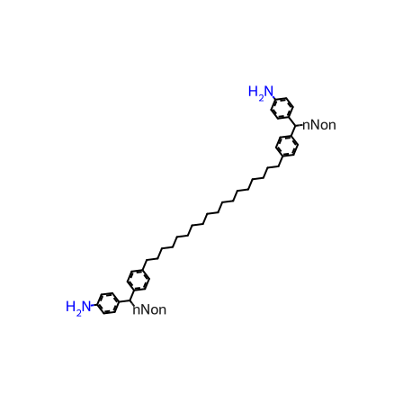 CCCCCCCCCC(c1ccc(N)cc1)c1ccc(CCCCCCCCCCCCCCCCCCc2ccc(C(CCCCCCCCC)c3ccc(N)cc3)cc2)cc1